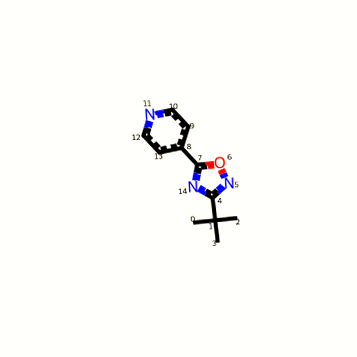 CC(C)(C)c1noc(-c2ccncc2)n1